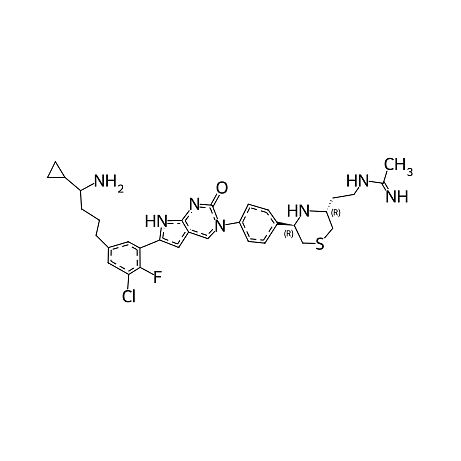 CC(=N)NCC[C@@H]1CSC[C@@H](c2ccc(-n3cc4cc(-c5cc(CCCC(N)C6CC6)cc(Cl)c5F)[nH]c4nc3=O)cc2)N1